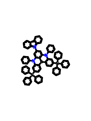 c1ccc(N2c3cc([Si](c4ccccc4)(c4ccccc4)c4ccccc4)ccc3B3c4ccc([Si](c5ccccc5)(c5ccccc5)c5ccccc5)cc4N(c4ccccc4)c4cc(-n5c6ccccc6c6ccccc65)cc2c43)cc1